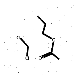 CCCOC(C)=O.ClCCl